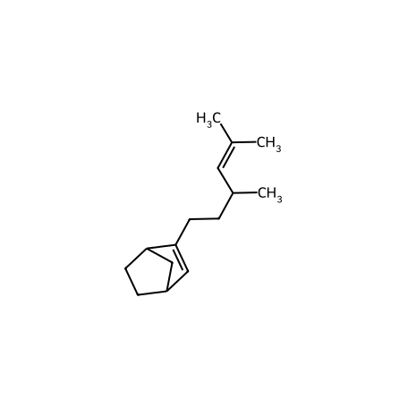 CC(C)=CC(C)CCC1=CC2CCC1C2